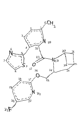 Cc1ccc(-c2nccs2)c(C(=O)N2C(COc3ccc(F)cn3)CC3CC2C3)n1